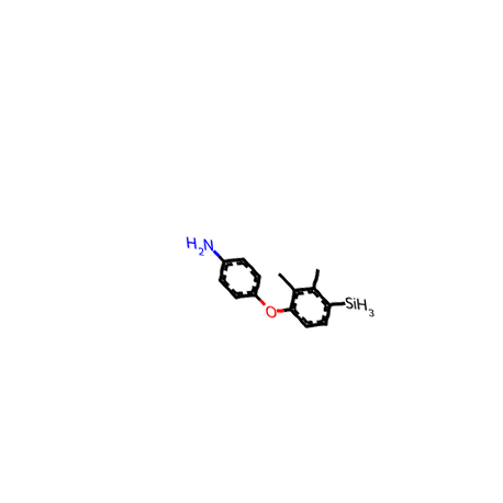 Cc1c([SiH3])ccc(Oc2ccc(N)cc2)c1C